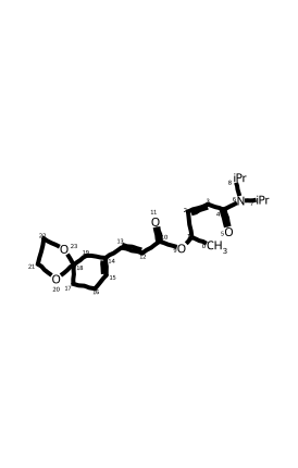 CC(/C=C\C(=O)N(C(C)C)C(C)C)OC(=O)/C=C/C1=CCCC2(C1)OCCO2